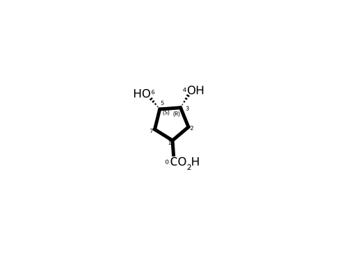 O=C(O)C1C[C@@H](O)[C@@H](O)C1